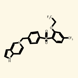 O=S(=O)(c1ccc(CN2C=CC3NC=CC3=C2)cc1)c1ccc(C(F)(F)F)cc1OCC(F)(F)F